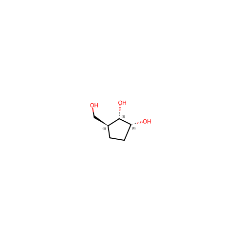 OC[C@@H]1CC[C@@H](O)[C@H]1O